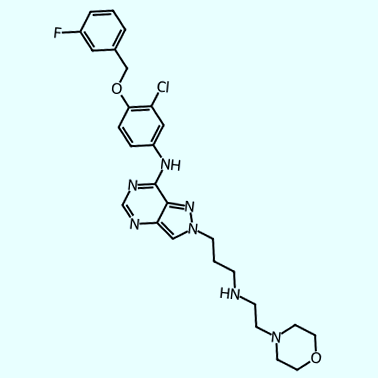 Fc1cccc(COc2ccc(Nc3ncnc4cn(CCCNCCN5CCOCC5)nc34)cc2Cl)c1